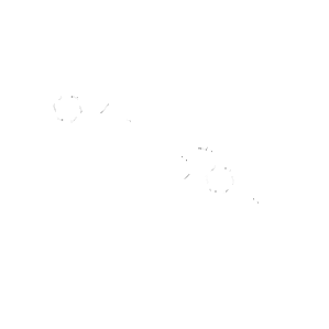 O=C(NCCCCN1CC=C(c2ccccc2)CC1)c1ccc(CN2CCOCC2)cc1[N+](=O)[O-]